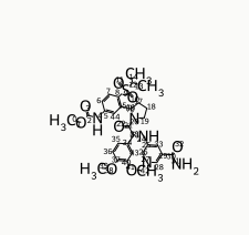 COC(=O)Nc1ccc(S(=O)(=O)C(C)C)c([C@H]2CCCN2C(=O)[C@H](Nc2cncc(C(N)=O)c2)c2ccc(OC)c(OC)c2)c1